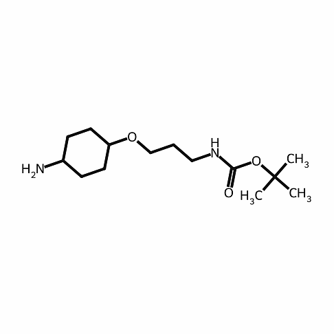 CC(C)(C)OC(=O)NCCCOC1CCC(N)CC1